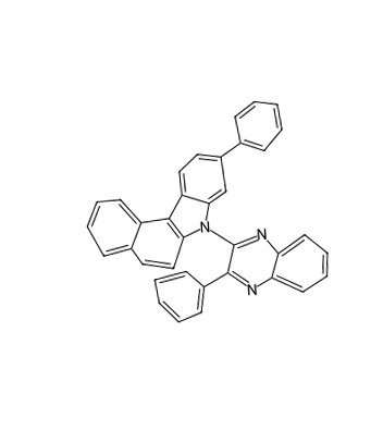 c1ccc(-c2ccc3c4c5ccccc5ccc4n(-c4nc5ccccc5nc4-c4ccccc4)c3c2)cc1